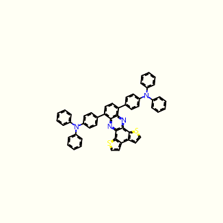 c1ccc(N(c2ccccc2)c2ccc(-c3ccc(-c4ccc(N(c5ccccc5)c5ccccc5)cc4)c4nc5c(nc34)c3sccc3c3ccsc35)cc2)cc1